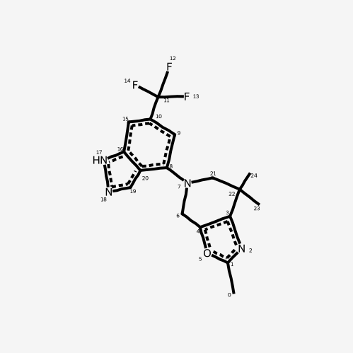 Cc1nc2c(o1)CN(c1cc(C(F)(F)F)cc3[nH]ncc13)CC2(C)C